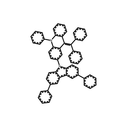 c1ccc(C(=C2c3ccccc3N(c3ccccc3)c3ccc(-n4c5ccc(-c6ccccc6)cc5c5cc(-c6ccccc6)ccc54)cc32)c2ccccc2)cc1